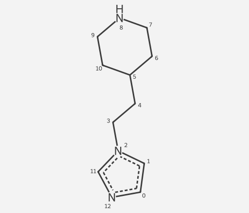 c1cn(CCC2CCNCC2)cn1